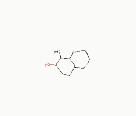 O=CC1C(O)CCC2CCCCC21